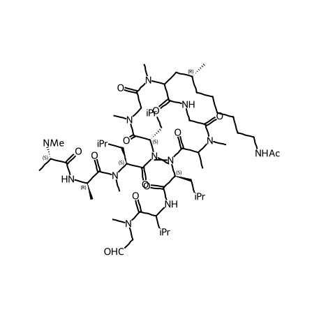 CN[C@@H](C)C(=O)N[C@H](C)C(=O)N(C)[C@@H](CC(C)C)C(=O)N(C)[C@@H](CC(C)C)C(=O)N(C)CC(=O)N(C)C(C[C@H](C)CCCCCCNC(C)=O)C(=O)NCC(=O)N(C)C(C)C(=O)N(C)[C@@H](CC(C)C)C(=O)NC(C(=O)N(C)CC=O)C(C)C